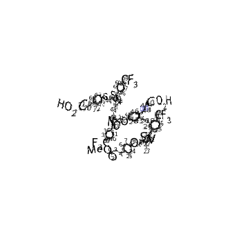 COC(=O)CCc1ccc(OCc2sc(-c3ccc(C(F)(F)F)cc3)nc2C)cc1.Cc1cc(OCc2oc(-c3ccc(C(F)(F)F)cc3)nc2C)ccc1/C=C/C(=O)O.Cc1nc(-c2ccc(C(F)(F)F)cc2)sc1CSc1ccc(CC(=O)O)cc1